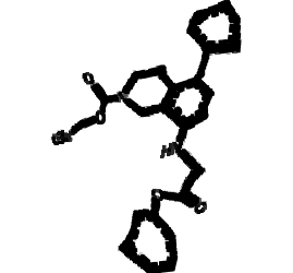 CC(C)(C)OC(=O)N1CCc2c(-c3ccccc3)ccc(NCC(=O)Oc3ccccc3)c2C1